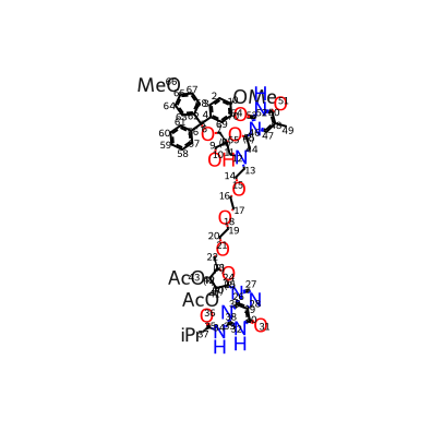 COc1ccc(C(OC[C@]2(CO)CN(CCOCCOCCOC[C@H]3O[C@@H](n4cnc5c(=O)[nH]c(NC(=O)C(C)C)nc54)[C@H](OC(C)=O)[C@@H]3OC(C)=O)C[C@H](n3cc(C)c(=O)[nH]c3=O)O2)(c2ccccc2)c2ccc(OC)cc2)cc1